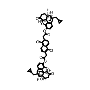 O=C(Cc1ccc2c(Cl)c(CC(=O)Oc3ccc4c5c3O[C@H]3C(=O)CC[C@@]6(O)[C@@H](C4)N(CC4CC4)CC[C@]536)ccc2c1Cl)Oc1ccc2c3c1O[C@H]1C(=O)CC[C@@]4(O)[C@@H](C2)N(CC2CC2)CCC314